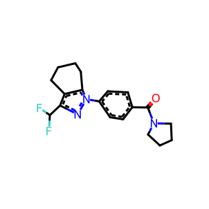 O=C(c1ccc(-n2nc(C(F)F)c3c2CCCC3)cc1)N1CCCC1